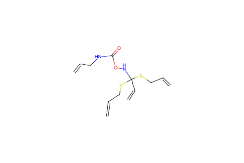 C=CCNC(=O)ONC(C=C)(SCC=C)SCC=C